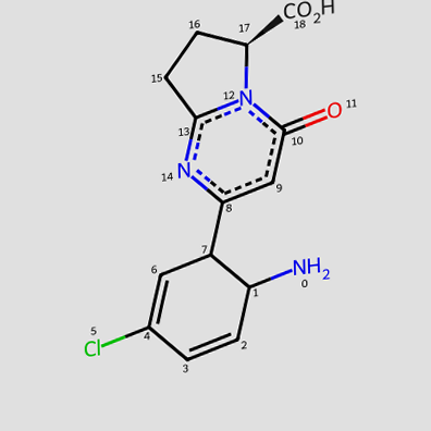 NC1C=CC(Cl)=CC1c1cc(=O)n2c(n1)CC[C@H]2C(=O)O